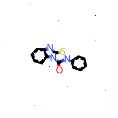 O=c1n(-c2ccccc2)sc2nc3ccccc3n12